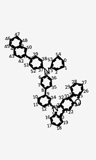 c1ccc(N(c2ccc(-c3cccc(-n4c5ccccc5c5cc6oc7ccccc7c6cc54)c3)cc2)c2ccc(-c3ccc4ccccc4c3)cc2)cc1